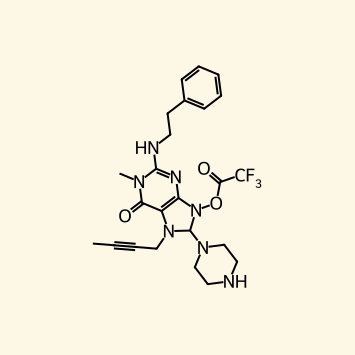 CC#CCN1c2c(nc(NCCc3ccccc3)n(C)c2=O)N(OC(=O)C(F)(F)F)C1N1CCNCC1